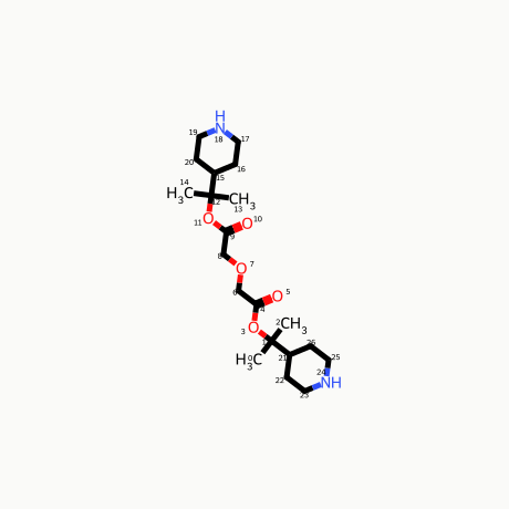 CC(C)(OC(=O)COCC(=O)OC(C)(C)C1CCNCC1)C1CCNCC1